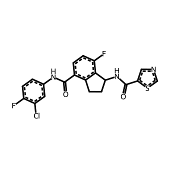 O=C(NC1CCc2c(C(=O)Nc3ccc(F)c(Cl)c3)ccc(F)c21)c1cncs1